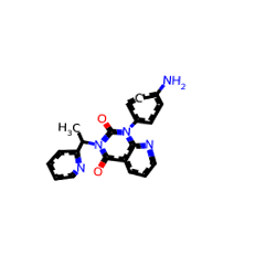 CC(c1ccccn1)n1c(=O)c2cccnc2n(-c2ccc(N)cc2)c1=O